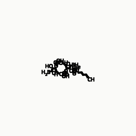 B[C@@H]1O[C@@H]2COP(=O)(O)OC3[C@@H](COP(=O)(O)OC2[C@@H]1O)O[C@@H](B)[C@H]3OP(=O)(O)OCCCCC#C